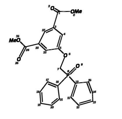 COC(=O)c1cc(OCP(=O)(c2ccccc2)c2ccccc2)cc(C(=O)OC)c1